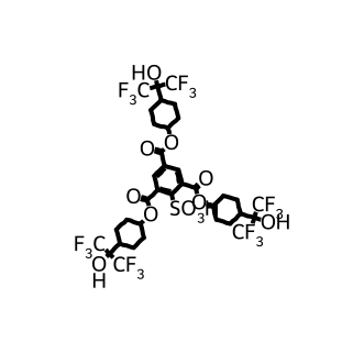 O=C(OC1CCC(C(O)(C(F)(F)F)C(F)(F)F)CC1)c1cc(C(=O)OC2CCC(C(O)(C(F)(F)F)C(F)(F)F)CC2)c(S(=O)(=O)O)c(C(=O)OC2CCC(C(O)(C(F)(F)F)C(F)(F)F)CC2)c1